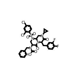 O=C1C(Cc2ccc(F)c(F)c2)N2C(=O)C(N(Cc3ccccc3)C(=O)O)CN(S(=O)(=O)c3ccc(Cl)cc3Cl)C2CN1C1CC1